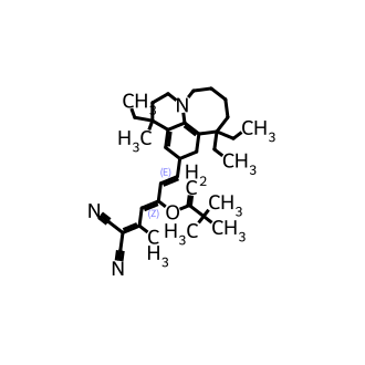 C=C(OC(=C\C(C)=C(C#N)C#N)/C=C/C1C=C2C3=C(C1)C(CC)(CC)CCCCN3CCC2(C)CC)C(C)(C)C